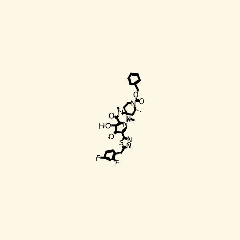 C[C@@H]1CC2(CCN1C(=O)OCc1ccccc1)N(C)C(=O)c1c(O)c(=O)c(-c3nnc(Cc4ccc(F)cc4F)s3)cn1N2C